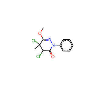 COC1=NN(c2ccccc2)C(=O)C(Cl)C1(C)Cl